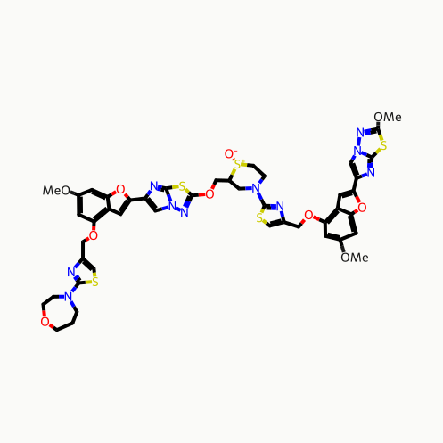 COc1cc(OCc2csc(N3CC[S+]([O-])C(COc4nn5cc(-c6cc7c(OCc8csc(N9CCCOCC9)n8)cc(OC)cc7o6)nc5s4)C3)n2)c2cc(-c3cn4nc(OC)sc4n3)oc2c1